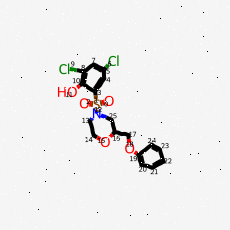 O=S(=O)(c1cc(Cl)cc(Cl)c1O)N1CCOC(COc2ccccc2)C1